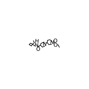 CCOC(=O)N1CCCC(N2CCC(C(=O)NCC3(CC)CCC3)CC2)CC1